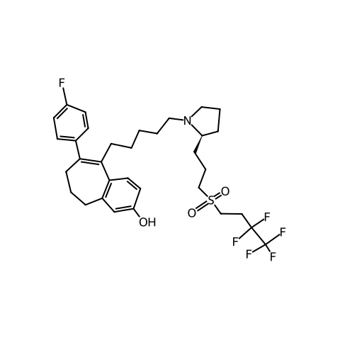 O=S(=O)(CCC[C@@H]1CCCN1CCCCCC1=C(c2ccc(F)cc2)CCCc2cc(O)ccc21)CCC(F)(F)C(F)(F)F